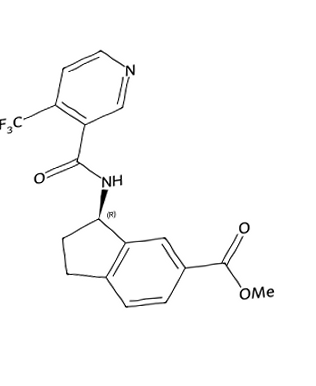 COC(=O)c1ccc2c(c1)[C@H](NC(=O)c1cnccc1C(F)(F)F)CC2